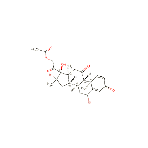 CC(=O)OCC(=O)[C@@]1(O)C(C)(Br)C[C@H]2[C@@H]3CC(Br)C4=CC(=O)C=C[C@]4(C)[C@H]3C(=O)C[C@@]21C